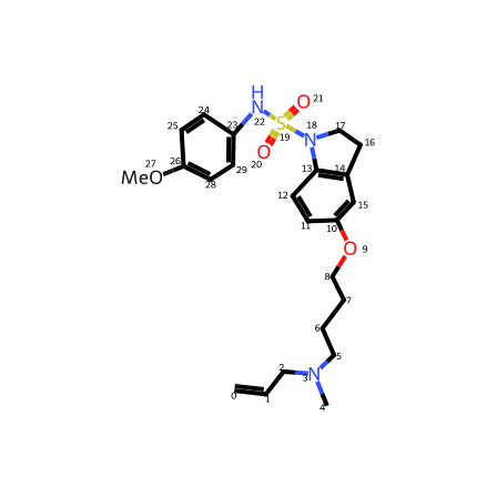 C=CCN(C)CCCCOc1ccc2c(c1)CCN2S(=O)(=O)Nc1ccc(OC)cc1